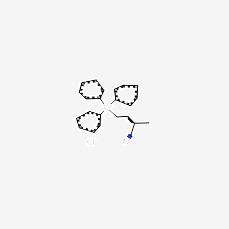 C/C(C#N)=C/C[P+](c1ccccc1)(c1ccccc1)c1ccccc1.[Cl-]